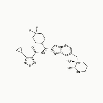 C[C@@]1(Cc2cnn3cc([C@@H](NC(=O)c4nonc4C4CC4)C4CCC(F)(F)CC4)nc3c2)CCCNC1=O